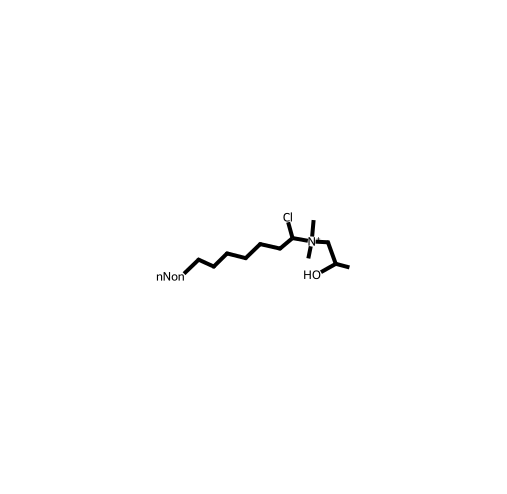 CCCCCCCCCCCCCCCC(Cl)[N+](C)(C)CC(C)O